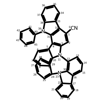 N#Cc1cc2c(c3ccccc3n2-c2cccc3c4ccccc4n(-c4ccccc4)c23)c2c1c1ccccc1n2-c1ccccc1